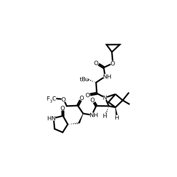 CC(C)(C)[C@H](NC(=O)OC1CC1)C(=O)N1C2C[C@@H]([C@H]1C(=O)N[C@@H](C[C@@H]1CCNC1=O)C(=O)COC(F)(F)F)C2(C)C